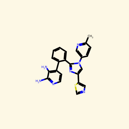 Cc1ccc(-n2cc(-c3cncs3)nc2-c2ccccc2-c2ccnc(N)c2N)cn1